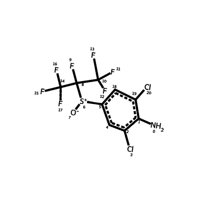 Nc1c(Cl)cc([S+]([O-])C(F)(C(F)(F)F)C(F)(F)F)cc1Cl